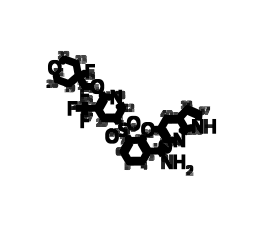 NC(=O)c1cccc(S(=O)(=O)c2cnc(OCC3(F)CCOCC3)c(C(F)(F)F)c2)c1Oc1cnc2[nH]ccc2c1